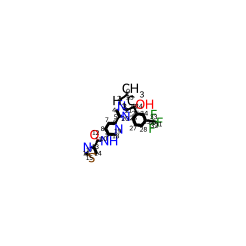 CCCn1cc(-c2ccc(NC(=O)c3cscn3)cn2)nc1C(C)(O)c1cccc(C(F)(F)F)c1